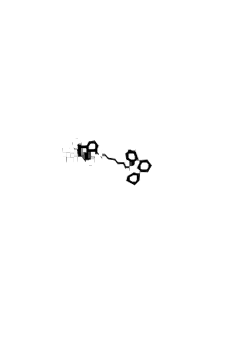 O=c1[nH][nH]c(=O)c2c(NCCCCCC[PH](c3ccccc3)(c3ccccc3)c3ccccc3)cccc12